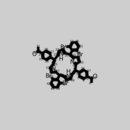 CC(=O)c1ccc(-c2c3nc(c(-c4c(Br)cccc4Br)c4ccc([nH]4)c(-c4ccc(C(C)=O)cc4)c4nc(c(-c5c(Br)cccc5Br)c5ccc2[nH]5)C=C4)C=C3)cc1